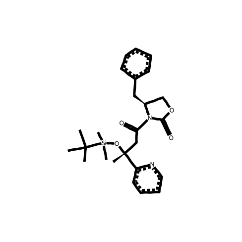 CC(C)(C)[Si](C)(C)O[C@](C)(CC(=O)N1C(=O)OC[C@@H]1Cc1ccccc1)c1ccccn1